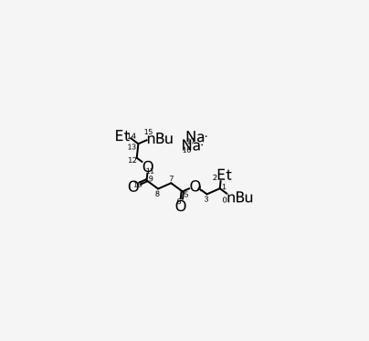 CCCCC(CC)COC(=O)CCC(=O)OCC(CC)CCCC.[Na].[Na]